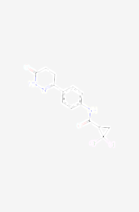 O=C1CCC(c2ccc(NC(=O)C3CC3(Cl)Cl)cc2)=NN1